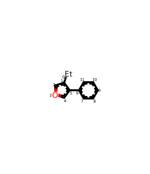 [CH2]Cc1cocc1-c1ccccc1